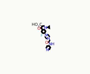 O=C(CN1CCN(c2cc3c(cc2F)c(=O)c(C(=O)O)cn3C2CC2)CC1)Nc1ccncc1